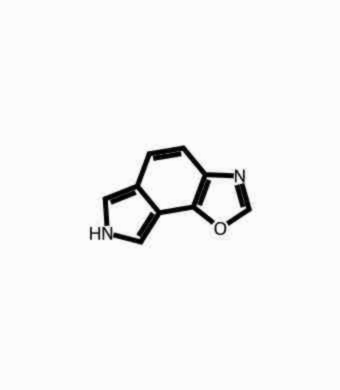 c1nc2ccc3c[nH]cc3c2o1